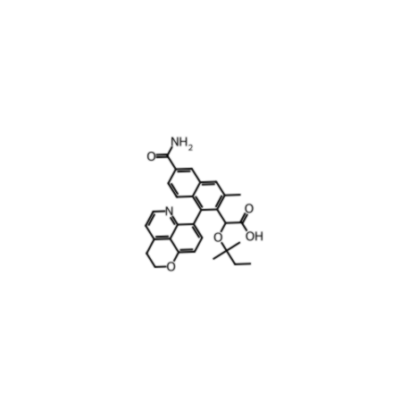 CCC(C)(C)OC(C(=O)O)c1c(C)cc2cc(C(N)=O)ccc2c1-c1ccc2c3c(ccnc13)CCO2